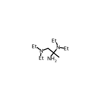 CCN(CC)CC(C)(N)N(CC)CC